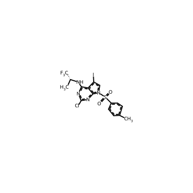 Cc1ccc(S(=O)(=O)n2cc(I)c3c(N[C@H](C)C(F)(F)F)nc(Cl)nc32)cc1